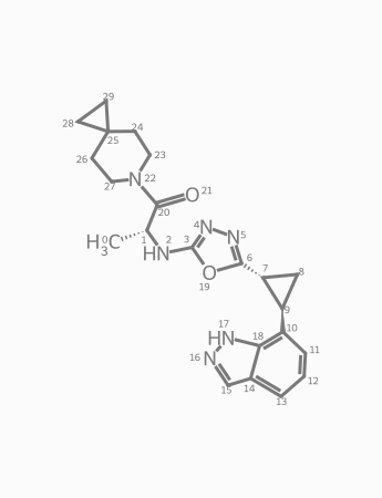 C[C@@H](Nc1nnc([C@@H]2C[C@H]2c2cccc3cn[nH]c23)o1)C(=O)N1CCC2(CC1)CC2